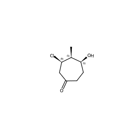 C[C@@H]1[C@H](Cl)CC(=O)CC[C@@H]1O